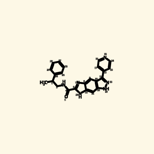 CC(CNC(=O)c1nc2cc3c(-c4ccncc4)n[nH]c3cc2[nH]1)c1ccccc1